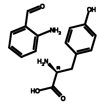 N[C@@H](Cc1ccc(O)cc1)C(=O)O.Nc1ccccc1C=O